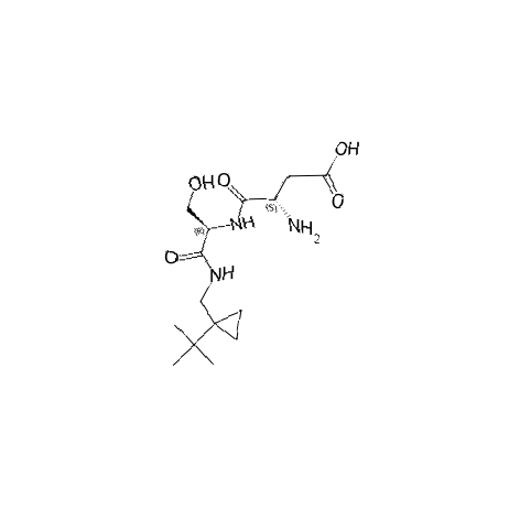 CC(C)(C)C1(CNC(=O)[C@@H](CO)NC(=O)[C@@H](N)CC(=O)O)CC1